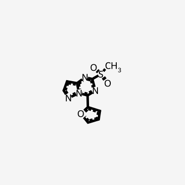 CS(=O)(=O)c1nc(-c2ccco2)n2nccc2n1